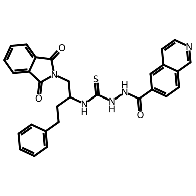 O=C(NNC(=S)NC(CCc1ccccc1)CN1C(=O)c2ccccc2C1=O)c1ccc2cnccc2c1